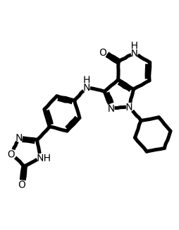 O=c1[nH]c(-c2ccc(Nc3nn(C4CCCCC4)c4cc[nH]c(=O)c34)cc2)no1